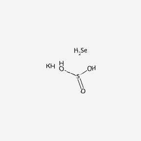 O=S(O)O.[KH].[SeH2]